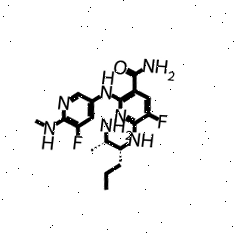 CCC[C@@H](Nc1nc(Nc2cnc(NC)c(F)c2)c(C(N)=O)cc1F)[C@H](C)N